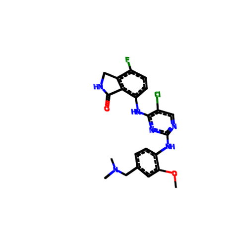 COc1cc(CN(C)C)ccc1Nc1ncc(Cl)c(Nc2ccc(F)c3c2C(=O)NC3)n1